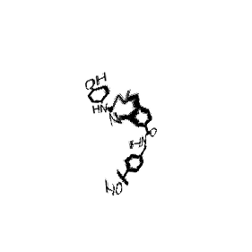 CC(C)(O)c1ccc(CNC(=O)c2ccc3cnc(N[C@H]4CC[C@H](O)CC4)nc3c2)cc1